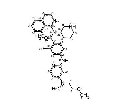 COCCN(C)c1ccnc(Nc2ccc(C(=O)N(c3nccc4cccc(C)c34)[C@@H]3CCCNC3)c(F)c2)n1